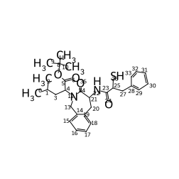 CC(C)CC(C(=O)OC(C)(C)C)N1Cc2ccccc2CC(NC(=O)C(S)Cc2ccccc2)C1=O